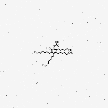 CCCCCCc1c(O)c(OC(=O)O)c(CCCCCC)c(CCCCCC)c1CCCCCC